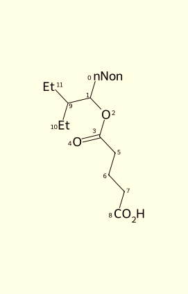 CCCCCCCCCC(OC(=O)CCCC(=O)O)C(CC)CC